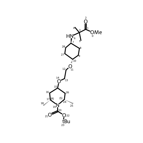 COC(=O)C(C)(C)N[C@H]1CC[C@H](OCCOC2C[C@@H](C)N(C(=O)OC(C)(C)C)[C@@H](C)C2)CC1